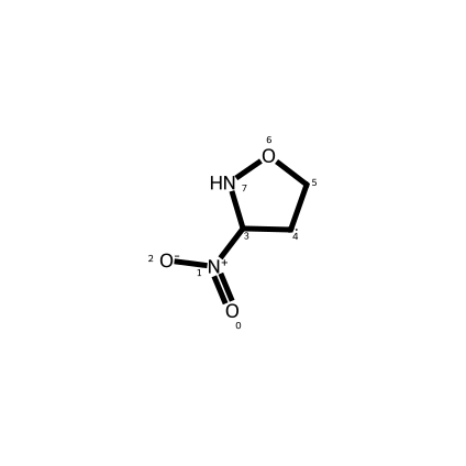 O=[N+]([O-])C1[CH]CON1